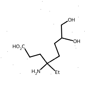 CCC(N)(CCC(=O)O)CCC(O)CO